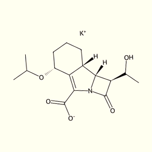 CC(C)O[C@@H]1CCC[C@H]2C1=C(C(=O)[O-])N1C(=O)[C@H](C(C)O)[C@@H]21.[K+]